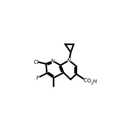 Cc1c(F)c(Cl)nc2c1CC(C(=O)O)=CN2C1CC1